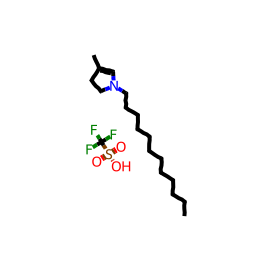 CCCCCCCCCCCCN1C=C(C)CC1.O=S(=O)(O)C(F)(F)F